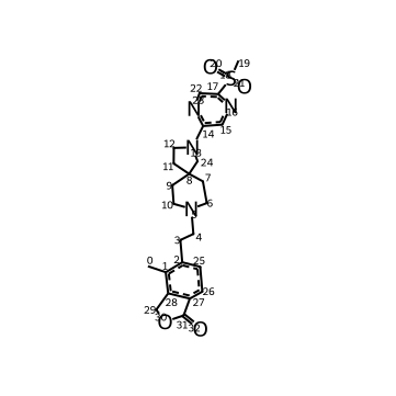 Cc1c(CCN2CCC3(CC2)CCN(c2cnc(S(C)(=O)=O)cn2)C3)ccc2c1COC2=O